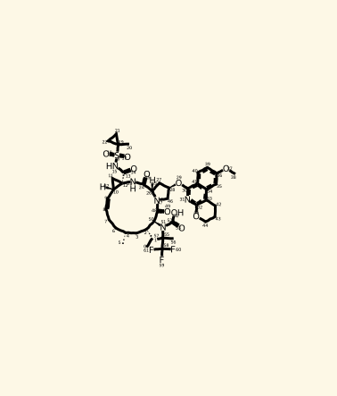 CC[C@@H]1C[C@H](C)CC/C=C\[C@@H]2C[C@@]2(C(=O)NS(=O)(=O)C2(C)CC2)NC(=O)[C@@H]2C[C@@H](Oc3nc4c(c5cc(OC)ccc35)CCCO4)CN2C(=O)[C@H]1N(C(=O)O)C(C)(C)C(F)(F)F